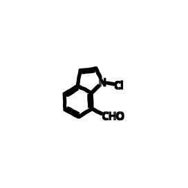 O=Cc1cccc2ccn(Cl)c12